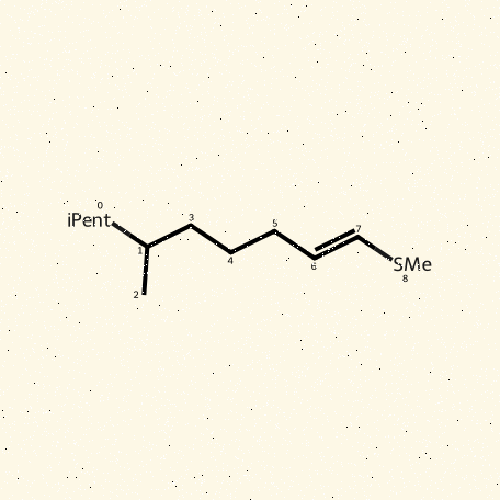 CCCC(C)C(C)CCCC=CSC